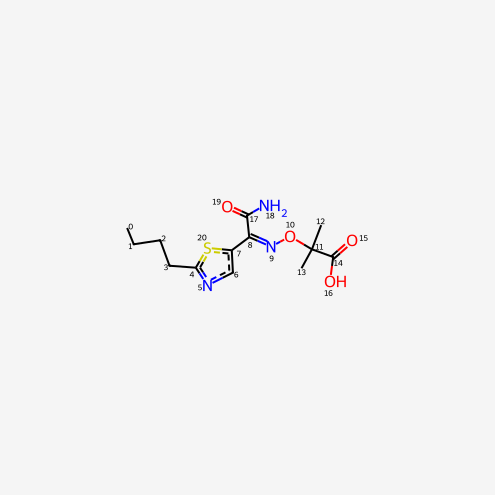 CCCCc1ncc(/C(=N/OC(C)(C)C(=O)O)C(N)=O)s1